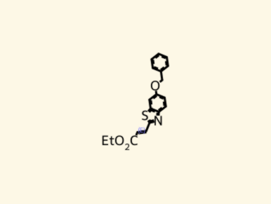 CCOC(=O)/C=C/c1nc2ccc(OCc3ccccc3)cc2s1